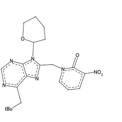 CC(C)(C)Cc1ncnc2c1nc(Cn1cccc([N+](=O)[O-])c1=O)n2C1CCCCO1